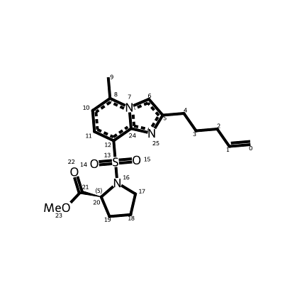 C=CCCCc1cn2c(C)ccc(S(=O)(=O)N3CCC[C@H]3C(=O)OC)c2n1